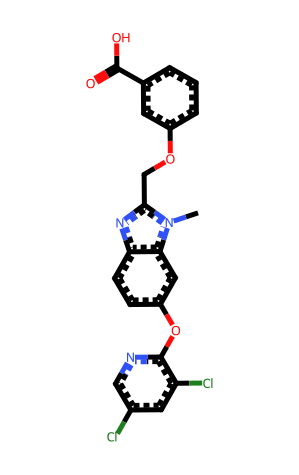 Cn1c(COc2cccc(C(=O)O)c2)nc2ccc(Oc3ncc(Cl)cc3Cl)cc21